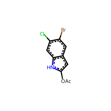 CC(=O)Oc1cc2cc(Br)c(Cl)cc2[nH]1